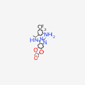 Cc1nc(NC(C)c2cc(N)cc(C(F)(F)F)c2)c2cc3c(cc2n1)OC1COCC1O3